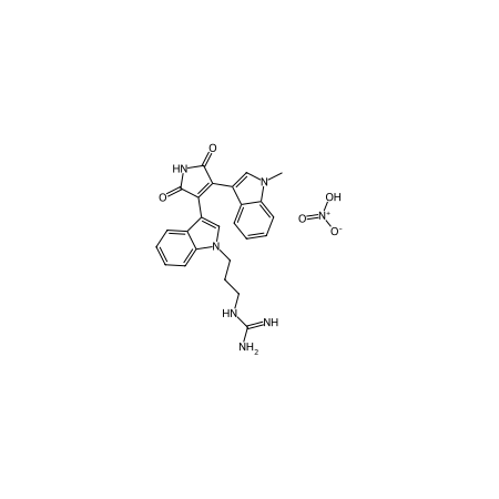 Cn1cc(C2=C(c3cn(CCCNC(=N)N)c4ccccc34)C(=O)NC2=O)c2ccccc21.O=[N+]([O-])O